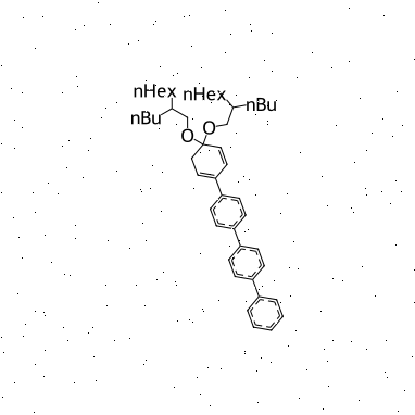 CCCCCCC(CCCC)COC1(OCC(CCCC)CCCCCC)C=CC(c2ccc(-c3ccc(-c4ccccc4)cc3)cc2)=CC1